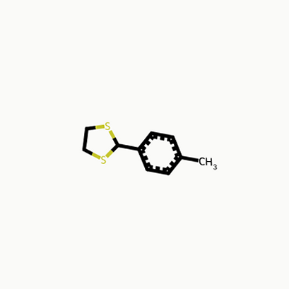 Cc1ccc(C2SCCS2)cc1